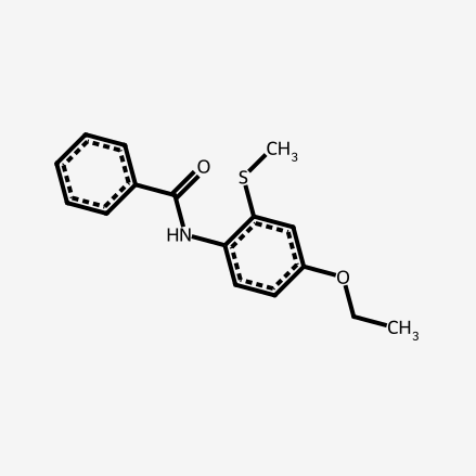 CCOc1ccc(NC(=O)c2ccccc2)c(SC)c1